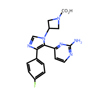 Nc1nccc(-c2c(-c3ccc(F)cc3)ncn2C2CN(C(=O)O)C2)n1